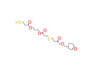 O=C(CCSCCC(=O)OCCCOC(=O)CCS)COCC1CCC2OC2C1